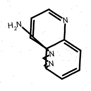 NN1CN=C2C=CC=C3N=CC=CC321